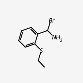 CCSc1ccccc1C(N)Br